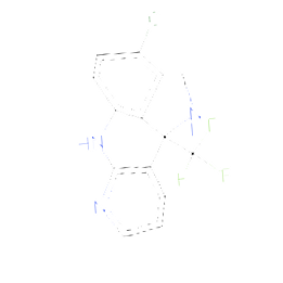 CNC1(C(F)(F)F)c2cc(Cl)ccc2Nc2ncccc21